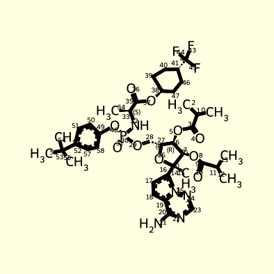 CC(C)C(=O)O[C@H]1[C@@H](OC(=O)C(C)C)[C@](C)(c2ccc3c(N)ncnn23)O[C@@H]1COP(=O)(N[C@@H](C)C(=O)O[C@H]1CC[C@H](C(F)(F)F)CC1)Oc1ccc(C(C)(C)C)cc1